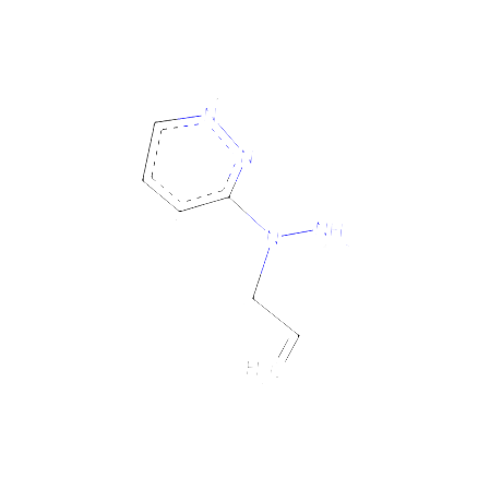 C=CCN(N)c1cccnn1